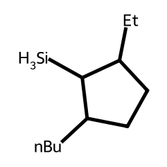 CCCCC1CCC(CC)C1[SiH3]